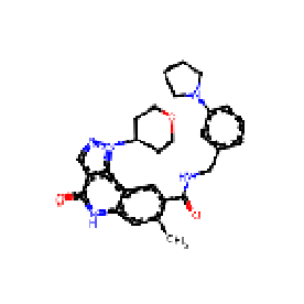 Cc1cc2[nH]c(=O)c3cnn(C4CCOCC4)c3c2cc1C(=O)NCc1cccc(N2CCCC2)c1